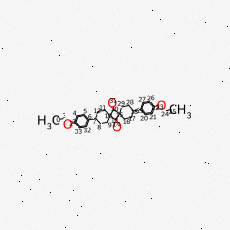 CCOc1ccc(C2CCC3(CC2)C(=O)C2(CCC(c4ccc(OCC)cc4)CC2)C3=O)cc1